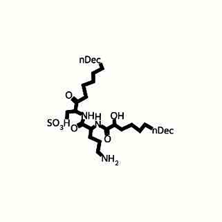 CCCCCCCCCCCCCCCC(=O)C(CS(=O)(=O)O)NC(=O)C(CCCN)NC(=O)C(O)CCCCCCCCCCCCCC